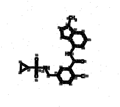 Cn1ncc2c(NC(=O)c3cc(CNS(=O)(=O)C4CC4)ccc3Cl)cccc21